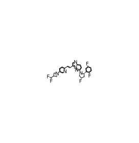 Fc1ccc(F)c([C@H]2C[C@H](F)CN2c2ccc3ncc(/C=C/c4ccc(N5CC(C(F)F)C5)cn4)n3n2)c1